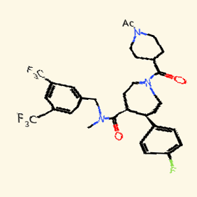 CC(=O)N1CCC(C(=O)N2CC[C@H](C(=O)N(C)Cc3cc(C(F)(F)F)cc(C(F)(F)F)c3)[C@H](c3ccc(F)cc3)C2)CC1